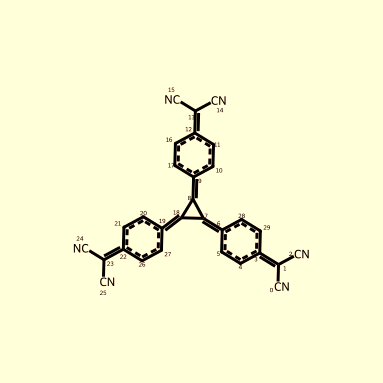 N#CC(C#N)=c1ccc(=C2C(=c3ccc(=C(C#N)C#N)cc3)C2=c2ccc(=C(C#N)C#N)cc2)cc1